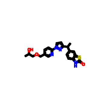 CC(O)COCc1ccc(-n2ccc(C(C)c3ccc4[nH]c(=O)sc4c3)n2)nc1